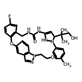 Cc1ccc(N2NC(NC(=O)NCc3cc(F)ccc3Oc3ccc4c(cnn4CCO)c3)=CC2C(C)(C)CO)cc1